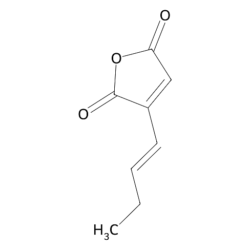 CCC=CC1=CC(=O)OC1=O